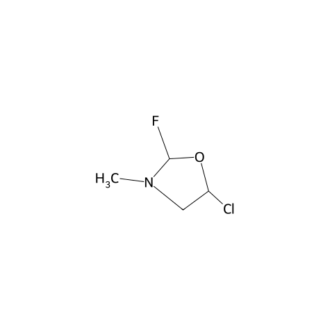 CN1CC(Cl)OC1F